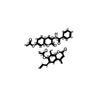 C=CCc1cc2c(C)cc(=O)oc2c(C)c1OC(C)=O.CC(=O)Oc1ccc2cc(NC(=O)c3ccccc3)c(=O)oc2c1